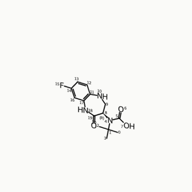 CC(C)(C)N(C(=O)O)[C@@H]1CNc2ccc(F)cc2NC1=O